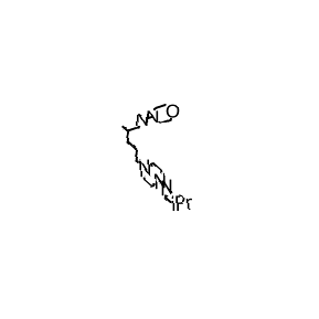 CC(C)/C=N/N1CCN(CCCC(C)/C=N/N2CCOCC2)CC1